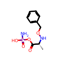 C[C@@H](NOCc1ccccc1)C(=O)OP(N)(=O)O